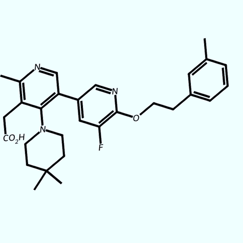 Cc1cccc(CCOc2ncc(-c3cnc(C)c(CC(=O)O)c3N3CCC(C)(C)CC3)cc2F)c1